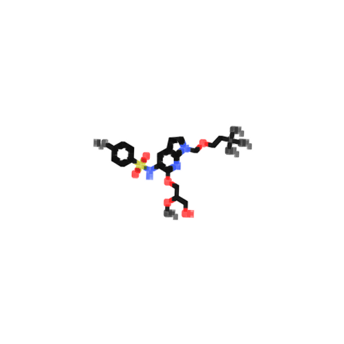 COC(CO)COc1nc2c(ccn2COCC[Si](C)(C)C)cc1NS(=O)(=O)c1ccc(C)cc1